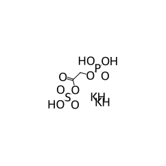 O=C(COP(=O)(O)O)OS(=O)(=O)O.[KH].[KH]